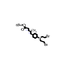 CC(/C=C/C(=O)OC(C)(C)C)=C\c1ccc(N(CCBr)CCBr)cc1